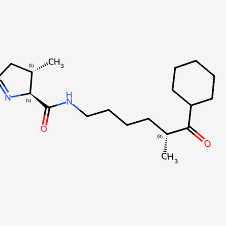 C[C@H](CCCCNC(=O)[C@H]1N=CC[C@@H]1C)C(=O)C1CCCCC1